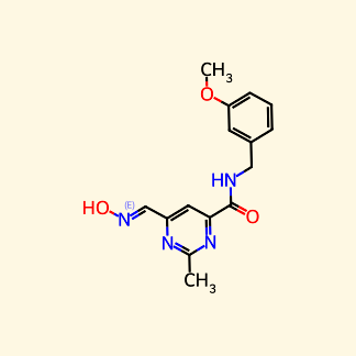 COc1cccc(CNC(=O)c2cc(/C=N/O)nc(C)n2)c1